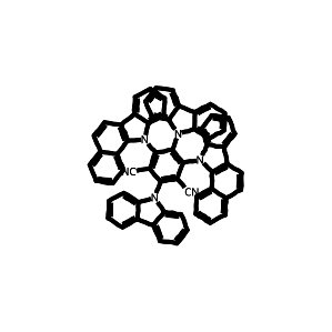 N#Cc1c(-n2c3ccccc3c3ccccc32)c(C#N)c(-n2c3ccccc3c3ccc4ccccc4c32)c(-n2c3ccccc3c3ccccc32)c1-n1c2ccccc2c2ccc3ccccc3c21